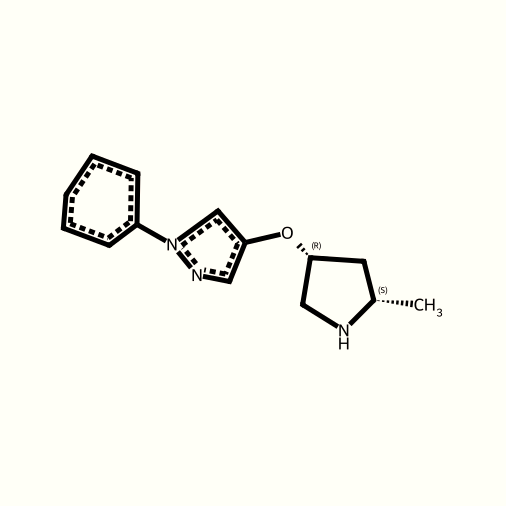 C[C@H]1C[C@@H](Oc2cnn(-c3ccccc3)c2)CN1